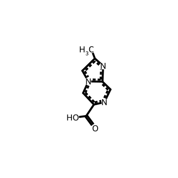 Cc1cn2cc(C(=O)O)ncc2n1